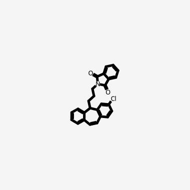 O=C1c2ccccc2C(=O)N1CCCC1c2ccccc2C=Cc2ccc(Cl)cc21